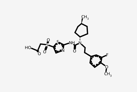 COc1ccc(CCN(C(=O)Nc2ncc(S(=O)(=O)CC(=O)O)s2)[C@H]2CC[C@H](C)CC2)cc1F